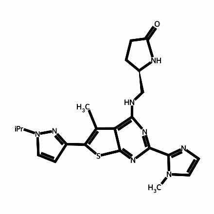 Cc1c(-c2ccn(C(C)C)n2)sc2nc(-c3nccn3C)nc(NC[C@H]3CCC(=O)N3)c12